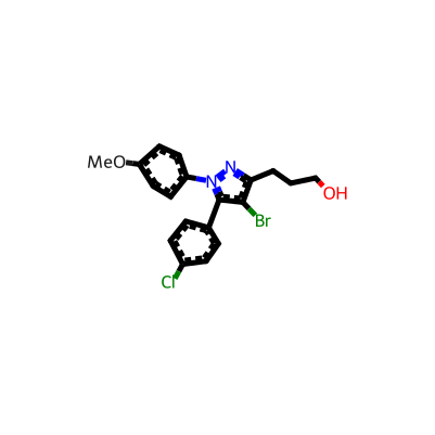 COc1ccc(-n2nc(CCCO)c(Br)c2-c2ccc(Cl)cc2)cc1